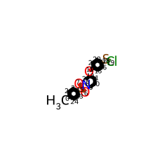 Cc1ccc(S(=O)(=O)N2CCCC(Oc3ccc(SCl)cc3)C2)cc1